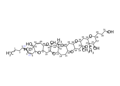 C=CC/C=C\C=C/C1OC2CC3OC4CCC5OC6CC7(C)OC8(C)C(O)CC(CCCO)OC8CC7OC6CC5OC4(C)CC3(C)OC2C=CC1(C)O